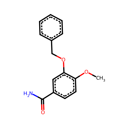 COc1ccc(C(N)=O)cc1OCc1ccccc1